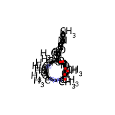 CO[C@H]1C[C@@H]2CC[C@@H](C)[C@@](O)(O2)C(=O)C(=O)N2CCCC[C@H]2C(=O)O[C@H]([C@H](N)C[C@@H]2CC[C@@H](OC(=O)N3CCc4nc(N5CCN(C)CC5)ncc4C3)[C@H](OC)C2)CC(=O)[C@H](C)/C=C(\C)[C@@H](O)[C@@H](O)C(=O)[C@H](C)C[C@H](C)/C=C/C=C/C=C/1C